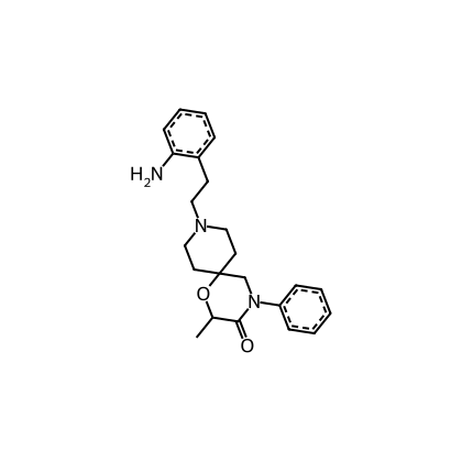 CC1OC2(CCN(CCc3ccccc3N)CC2)CN(c2ccccc2)C1=O